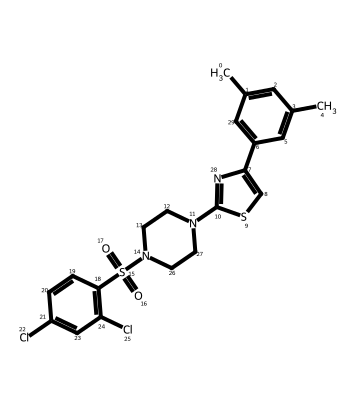 Cc1cc(C)cc(-c2csc(N3CCN(S(=O)(=O)c4ccc(Cl)cc4Cl)CC3)n2)c1